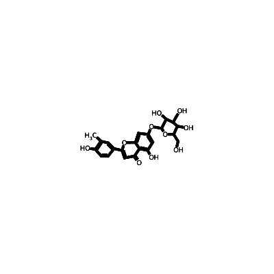 Cc1cc(-c2cc(=O)c3c(O)cc(OC4OC(CO)C(O)C(O)C4O)cc3o2)ccc1O